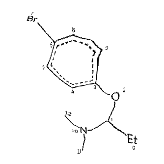 CCC(Oc1ccc(Br)cc1)N(C)C